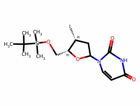 CC(C)(C)[Si](C)(C)OC[C@H]1OC(n2ccc(=O)[nH]c2=O)C[C@H]1I